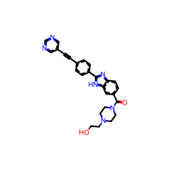 O=C(c1ccc2nc(-c3ccc(C#Cc4cncnc4)cc3)[nH]c2c1)N1CCN(CCO)CC1